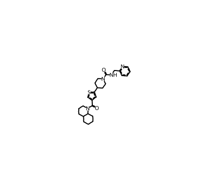 O=C(NCc1ccccn1)N1CCC(c2cc(C(=O)N3CCCC4CCCCC43)cs2)CC1